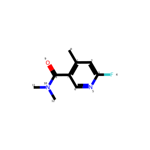 Cc1cc(F)ncc1C(=O)N(C)C